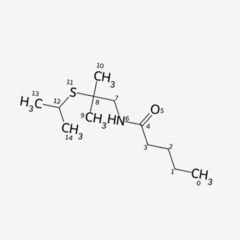 CCCCC(=O)NCC(C)(C)SC(C)C